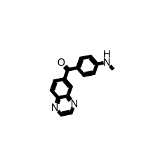 CNc1ccc(C(=O)c2ccc3nccnc3c2)cc1